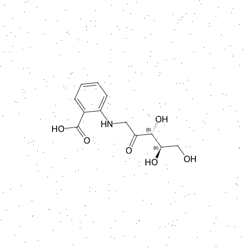 O=C(O)c1ccccc1NCC(=O)[C@H](O)[C@H](O)CO